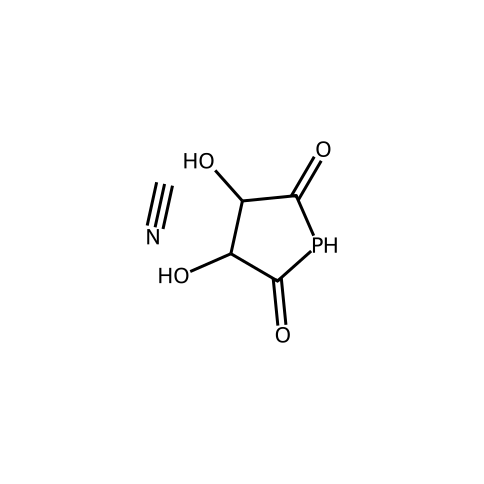 C#N.O=C1PC(=O)C(O)C1O